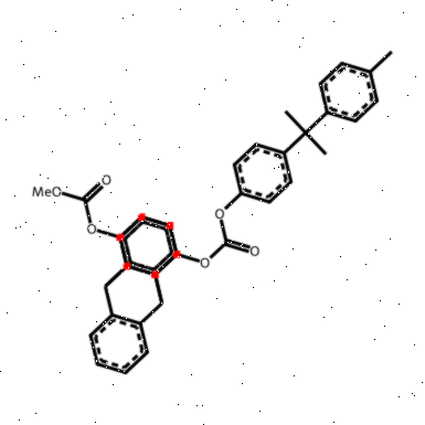 COC(=O)Oc1ccc(OC(=O)Oc2ccc(C(C)(C)c3ccc(C)cc3)cc2)c2c1C1c3ccccc3C2c2ccccc21